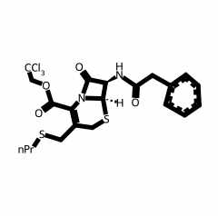 CCCSCC1=C(C(=O)OCC(Cl)(Cl)Cl)N2C(=O)[C@@H](NC(=O)Cc3ccccc3)[C@H]2SC1